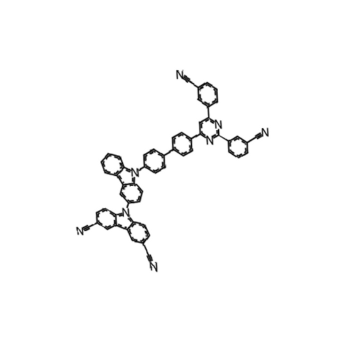 N#Cc1cccc(-c2cc(-c3ccc(-c4ccc(-n5c6ccccc6c6cc(-n7c8ccc(C#N)cc8c8cc(C#N)ccc87)ccc65)cc4)cc3)nc(-c3cccc(C#N)c3)n2)c1